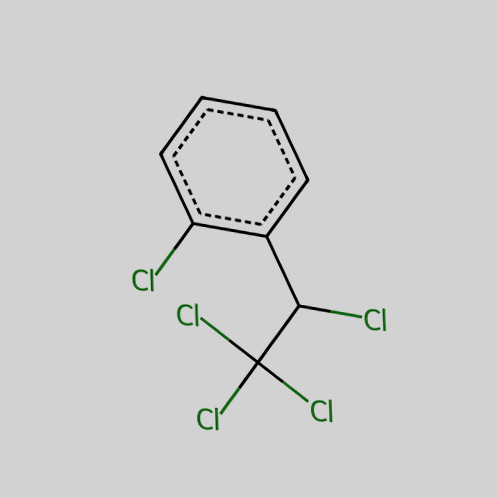 Clc1ccccc1C(Cl)C(Cl)(Cl)Cl